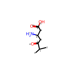 CC(C)C(=O)CC(N)CC(=O)O